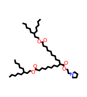 CCCCCC(CCCCC)CCOC(=O)CCCCCCCCC(CCCCCCCC(=O)OCCC(CCCCC)CCCCC)C(=O)OCCN1CCCC1